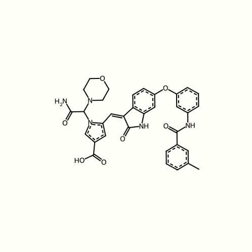 Cc1cccc(C(=O)Nc2cccc(Oc3ccc4c(c3)NC(=O)C4=Cc3cc(C(=O)O)cn3C(C(N)=O)N3CCOCC3)c2)c1